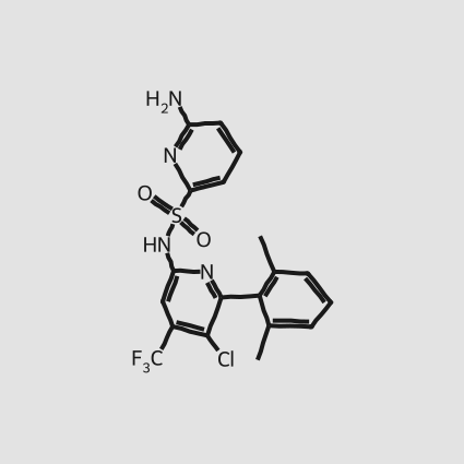 Cc1cccc(C)c1-c1nc(NS(=O)(=O)c2cccc(N)n2)cc(C(F)(F)F)c1Cl